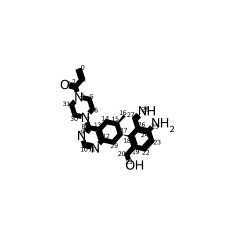 C=CC(=O)N1CCN(c2ncnc3c2C[C@@H](C)[C@H](c2c(CO)ccc(N)c2C=N)C3)CC1